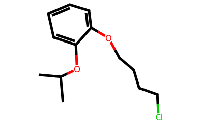 CC(C)Oc1ccccc1OCCCCCl